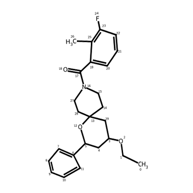 CCOC1CC(c2ccccc2)OC2(CCN(C(=O)c3cccc(F)c3C)CC2)C1